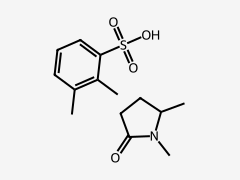 CC1CCC(=O)N1C.Cc1cccc(S(=O)(=O)O)c1C